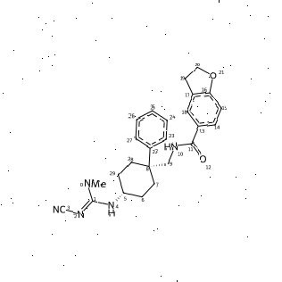 CN/C(=N\C#N)N[C@H]1CC[C@](CNC(=O)c2ccc3c(c2)CCO3)(c2ccccc2)CC1